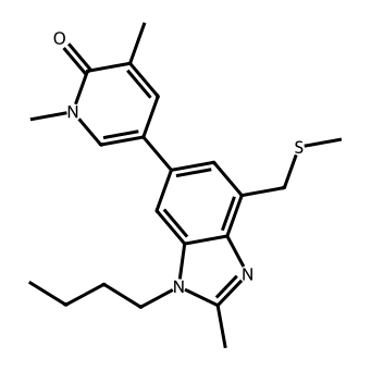 CCCCn1c(C)nc2c(CSC)cc(-c3cc(C)c(=O)n(C)c3)cc21